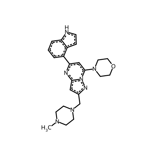 CN1CCN(Cc2cc3nc(-c4cccc5[nH]ccc45)cc(N4CCOCC4)n3n2)CC1